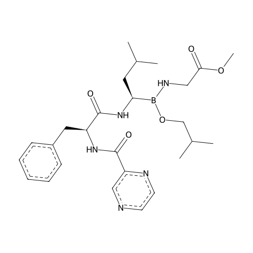 COC(=O)CNB(OCC(C)C)[C@H](CC(C)C)NC(=O)[C@H](Cc1ccccc1)NC(=O)c1cnccn1